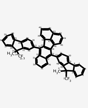 CC1(C(F)(F)F)c2ccccc2-c2ccc(-c3c4c(c(-c5ccc6c(c5)C(C)(C(F)(F)F)c5ccccc5-6)c5ccccc35)-c3cccc5cccc-4c35)cc21